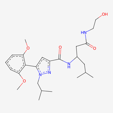 COc1cccc(OC)c1-c1cc(C(=O)NC(CC(=O)NCCO)CC(C)C)nn1CC(C)C